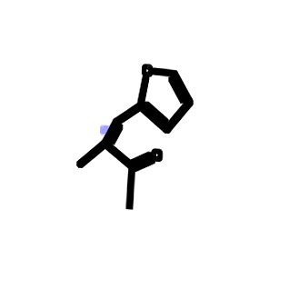 CC(=O)/C(C)=C\c1ccco1